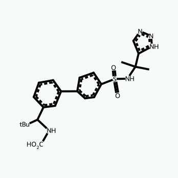 CC(C)(NS(=O)(=O)c1ccc(-c2cccc(C(NC(=O)O)C(C)(C)C)c2)cc1)c1cnn[nH]1